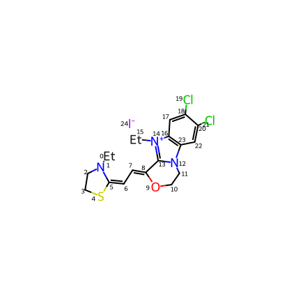 CCN1CCSC1=CC=C1OCCn2c1[n+](CC)c1cc(Cl)c(Cl)cc12.[I-]